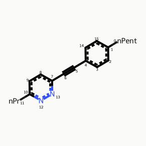 CCCCCc1ccc(C#Cc2ccc(CCC)nn2)cc1